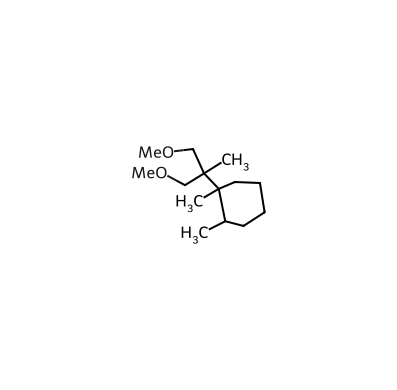 COCC(C)(COC)C1(C)CCCCC1C